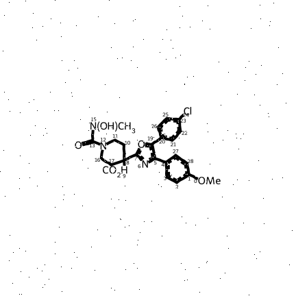 COc1ccc(-c2nc(C3(C(=O)O)CCN(C(=O)N(C)O)CC3)oc2-c2ccc(Cl)cc2)cc1